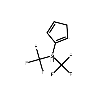 FC(F)(F)[SiH](C1=[C]CC=C1)C(F)(F)F